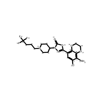 Nc1c(Cl)cc(-c2nn(C3CCN(CCCC(F)(F)F)CC3)c(=O)o2)c2c1OCCO2